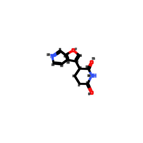 O=C1CCC(c2coc3cnccc23)C(=O)N1